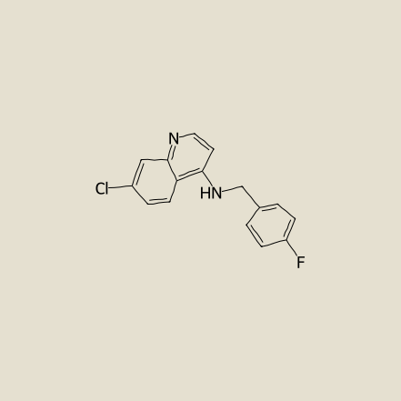 Fc1ccc(CNc2ccnc3cc(Cl)ccc23)cc1